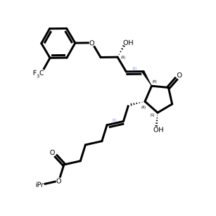 CC(C)OC(=O)CCC/C=C/C[C@H]1[C@@H](O)CC(=O)[C@@H]1/C=C/[C@@H](O)COc1cccc(C(F)(F)F)c1